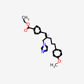 CCOC(=O)c1ccc(/C=C(/CCCc2ccc(OC)cc2)Cn2ccnc2)cc1